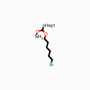 CCCCCCCC(O[SiH3])OCCCCCCBr